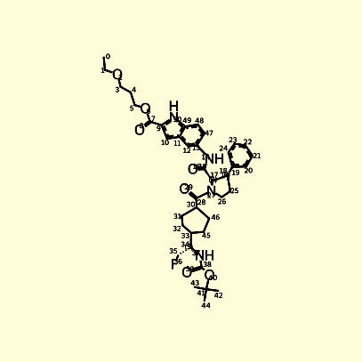 CCOCCCOC(=O)c1cc2cc(NC(=O)[C@H]3[C@@H](c4ccccc4)CCN3C(=O)C3CCC([C@@H](CF)NC(=O)OC(C)(C)C)CC3)ccc2[nH]1